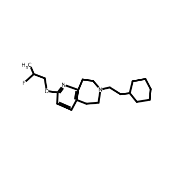 CC(F)COc1ccc2c(n1)CCN(CCC1CCCCC1)CC2